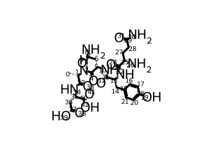 C[C@H](NC(=O)[C@H](CC(N)=O)NC(=O)[C@H](Cc1ccc(O)cc1)NC(=O)[C@@H](N)CCC(N)=O)C(=O)N[C@@H](CC(=O)O)C(=O)O